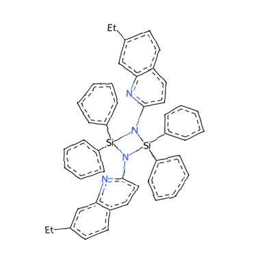 CCc1ccc2ccc(N3[Si](c4ccccc4)(c4ccccc4)N(c4ccc5ccc(CC)cc5n4)[Si]3(c3ccccc3)c3ccccc3)nc2c1